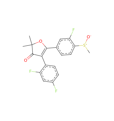 C[S+]([O-])c1ccc(C2=C(c3ccc(F)cc3F)C(=O)C(C)(C)O2)cc1F